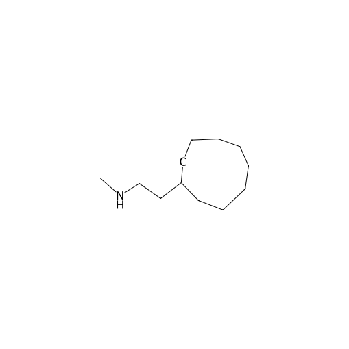 CNCCC1CCCCCCCC1